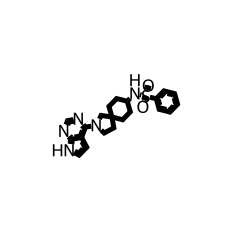 O=S(=O)(NC1CCC2(CC1)CCN(c1ncnc3[nH]ccc13)C2)c1ccccc1